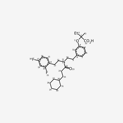 CCC(C)(Oc1cccc(CCN(CCc2ccc(F)cc2F)C(=O)CCC2CCCCC2)c1)C(=O)O